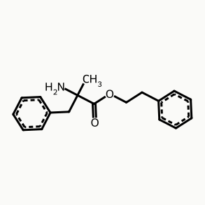 CC(N)(Cc1ccccc1)C(=O)OCCc1ccccc1